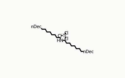 CCCCCCCCCCCCCCCCCCNCCCCCCCCCCCCCCCCCC.[Cl][Ti]([Cl])[Cl]